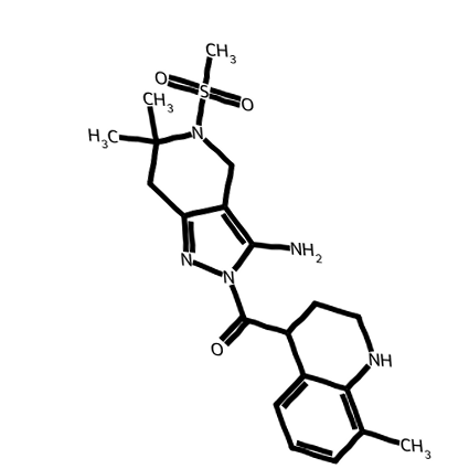 Cc1cccc2c1NCCC2C(=O)n1nc2c(c1N)CN(S(C)(=O)=O)C(C)(C)C2